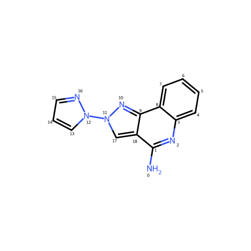 Nc1nc2ccccc2c2nn(-n3cccn3)cc12